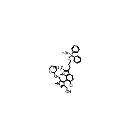 CCCC[Si](OCCCc1c(C(=O)O)n(C)c2c(-c3c(CO)nn(C)c3COC3CCCCO3)c(Cl)ccc12)(c1ccccc1)c1ccccc1